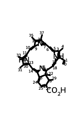 C=Cc1c(C)c2cc3nc(cc4[nH]c(cc5nc(cc1[nH]2)C1(C)C5=CC=C(C(=O)O)C1C)c(C)c4C)C(C)=C3C